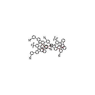 N#Cc1ccc(-c2ccc3c4ccccc4n(-c4cc(C(F)(F)F)cc(-n5c6ccccc6c6ccc(-c7ccc(C#N)c(-c8cc9c%10ccc(-c%11cccc(C#N)c%11)cc%10n(-c%10cc(C(F)(F)F)cc(-n%11c%12cc(-c%13cccc(C#N)c%13)ccc%12c%12ccc(-c%13cccc(C#N)c%13)cc%12%11)c%10-c%10cccc(-c%11ccccc%11)n%10)c9cc8-c8cccc(C#N)c8)c7)cc65)c4-c4cccc(-c5ccccc5)n4)c3c2)cc1